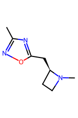 Cc1noc(C[C@@H]2CCN2C)n1